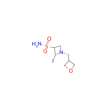 NS(=O)(=O)C1CN(CC2COC2)C1I